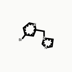 Brc1ccnc(Cn2ccnc2)c1